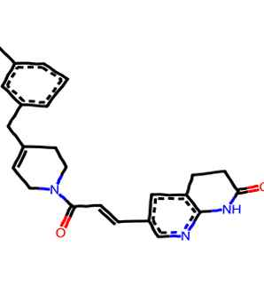 Cc1cccc(CC2=CCN(C(=O)C=Cc3cnc4c(c3)CCC(=O)N4)CC2)c1